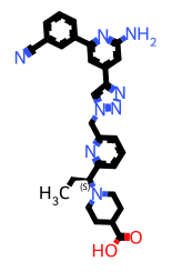 CC[C@@H](c1cccc(Cn2cc(-c3cc(N)nc(-c4cccc(C#N)c4)c3)nn2)n1)N1CCC(C(=O)O)CC1